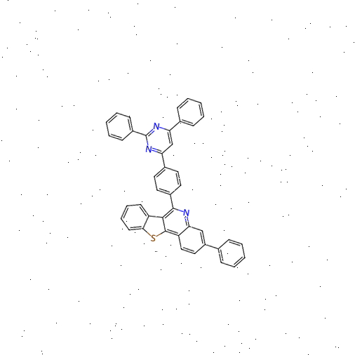 c1ccc(-c2ccc3c(c2)nc(-c2ccc(-c4cc(-c5ccccc5)nc(-c5ccccc5)n4)cc2)c2c4ccccc4sc32)cc1